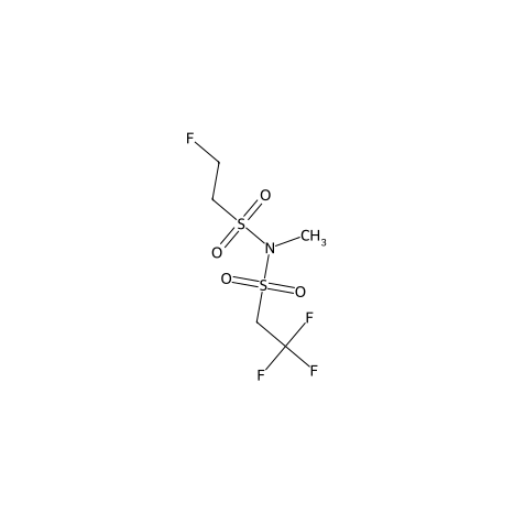 CN(S(=O)(=O)CCF)S(=O)(=O)CC(F)(F)F